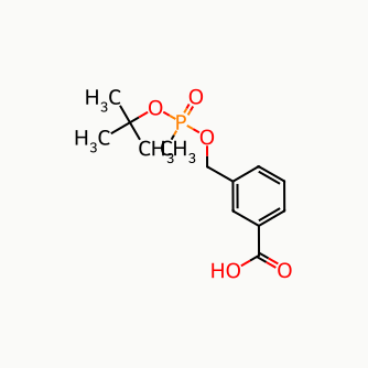 CC(C)(C)OP(C)(=O)OCc1cccc(C(=O)O)c1